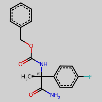 C[C@](NC(=O)OCc1ccccc1)(C(N)=O)c1ccc(F)cc1